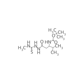 CNC(=S)NNC(=O)CC(NC(=O)OC(C)(C)C)C(C)C